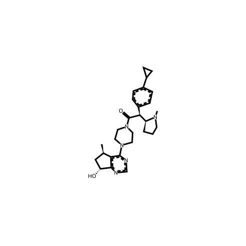 C[C@@H]1C[C@@H](O)c2ncnc(N3CCN(C(=O)[C@@H](c4ccc(C5CC5)cc4)[C@@H]4CCCN4C)CC3)c21